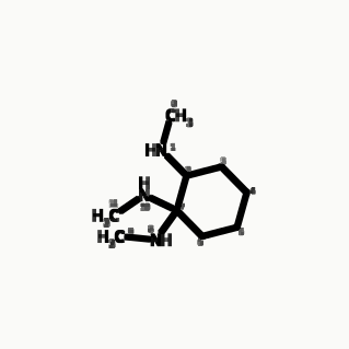 CNC1CCC[CH]C1(NC)NC